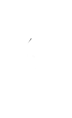 CCCCN(P(c1ccccc1)c1ccccc1)P1CCC[C@H]1CC